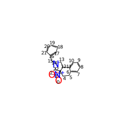 O=[N+]([O-])C12CCc3ccccc3C1CN(Cc1ccccc1)C2